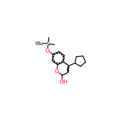 CC(C)(C)[Si](C)(C)Oc1ccc2c(c1)OC(O)C=C2C1CCCC1